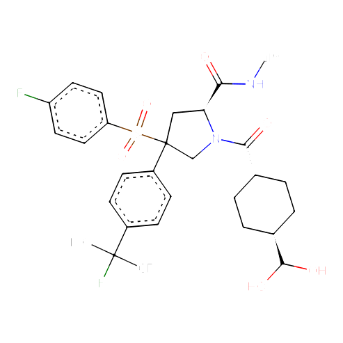 CC(C)NC(=O)[C@@H]1CC(c2ccc(C(F)(C(F)(F)F)C(F)(F)F)cc2)(S(=O)(=O)c2ccc(F)cc2)CN1C(=O)[C@H]1CC[C@H](C(O)O)CC1